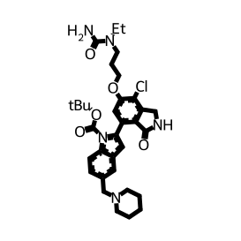 CCN(CCCOc1cc(-c2cc3cc(CN4CCCCC4)ccc3n2C(=O)OC(C)(C)C)c2c(c1Cl)CNC2=O)C(N)=O